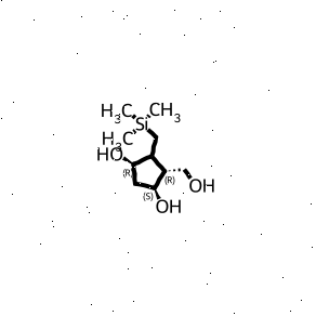 C[Si](C)(C)CC1[C@H](O)C[C@H](O)[C@H]1CO